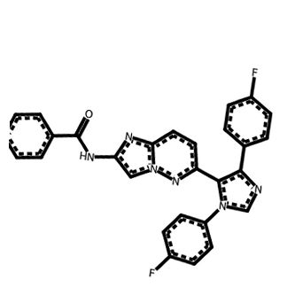 O=C(Nc1cn2nc(-c3c(-c4ccc(F)cc4)ncn3-c3ccc(F)cc3)ccc2n1)c1ccncc1